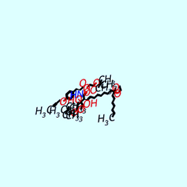 CC#CCOc1ccc(C[C@H](NC(=O)[C@@H](C=CCCCCCCC2(CCCCCCC)OCCO2)[C@@](O)(CCO[Si](C)(C)C(C)(C)C)C(=O)O)C(=O)OCC(=O)OC(C)(C)C)cc1